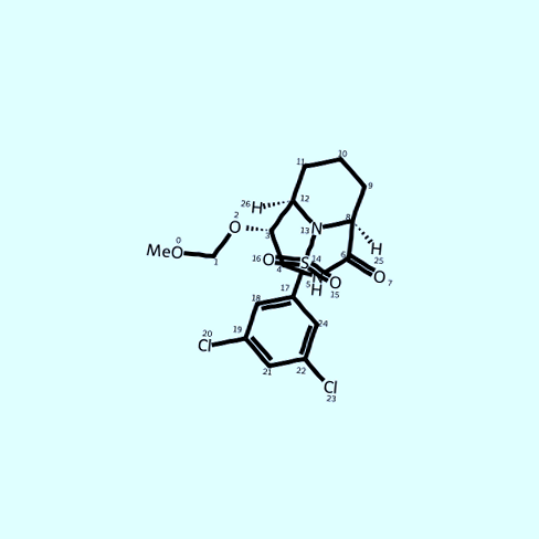 COCO[C@H]1CNC(=O)[C@@H]2CCC[C@H]1N2S(=O)(=O)c1cc(Cl)cc(Cl)c1